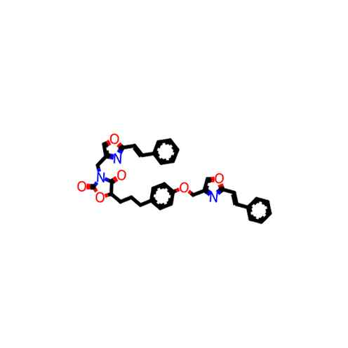 O=C1OC(CCCc2ccc(OCc3coc(C=Cc4ccccc4)n3)cc2)C(=O)N1Cc1coc(C=Cc2ccccc2)n1